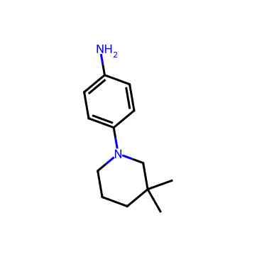 CC1(C)CCCN(c2ccc(N)cc2)C1